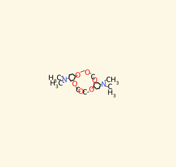 CCN(CC)c1ccc2c(c1)OCCOCCOc1ccc(N(CC)CC)cc1OCCOCCO2